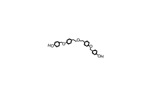 Oc1ccc(COc2ccc(CCOCCc3ccc(OCc4ccc(O)cc4)cc3)cc2)cc1